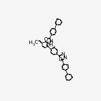 C=C(/C=C\C(=C/C)c1nnc(-c2ccc(-c3ccccc3)cc2)o1)c1ccc(-c2nnc(-c3ccc(-c4ccccc4)cc3)o2)cc1